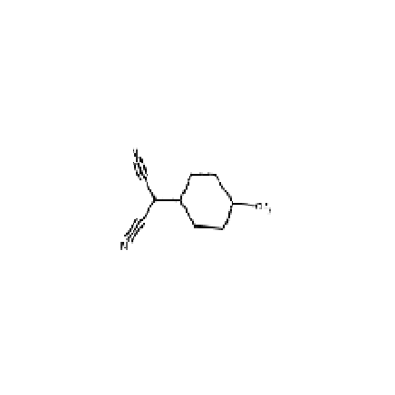 CC1CCC(C(C#N)C#N)CC1